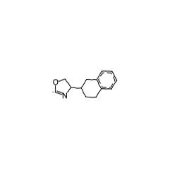 [C]1=NC(C2CCc3ccccc3C2)CO1